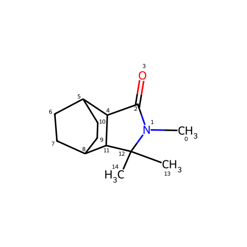 CN1C(=O)C2C3CCC(CC3)C2C1(C)C